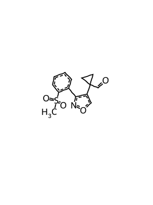 CS(=O)(=O)c1ccccc1-c1nocc1C1(C=O)CC1